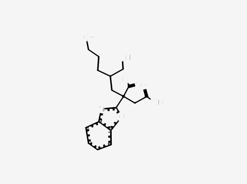 CCCCC(CC)CC(CC(=O)O)(C(O)=S)c1nc2ccccc2o1